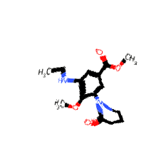 CCNc1cc(C(=O)OC)cc(N2CCCC2=O)c1OC